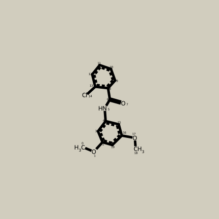 COc1cc(NC(=O)c2ccccc2Cl)cc(OC)c1